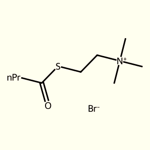 CCCC(=O)SCC[N+](C)(C)C.[Br-]